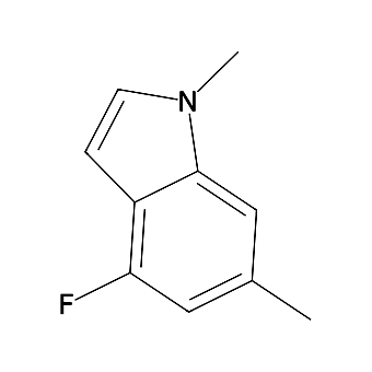 Cc1cc(F)c2ccn(C)c2c1